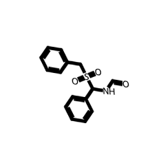 O=CNC(c1ccccc1)S(=O)(=O)Cc1ccccc1